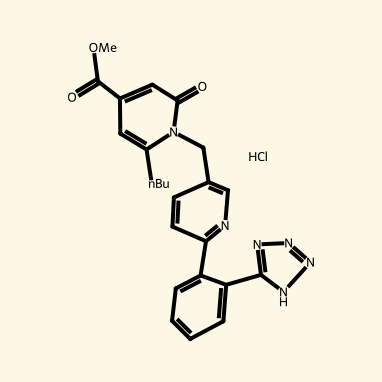 CCCCc1cc(C(=O)OC)cc(=O)n1Cc1ccc(-c2ccccc2-c2nnn[nH]2)nc1.Cl